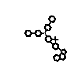 CC1(C)c2cc(N(c3ccc(-c4ccccc4)cc3)c3ccc(-c4ccccc4)cc3)ccc2-c2ccc(-n3ccc4ccc5ccccc5c43)cc21